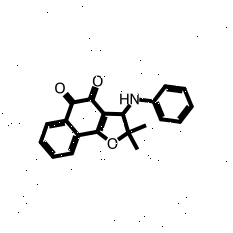 CC1(C)OC2=C(C(=O)C(=O)c3ccccc32)C1Nc1ccccc1